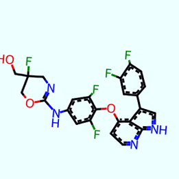 OCC1(F)CN=C(Nc2cc(F)c(Oc3ccnc4[nH]cc(-c5ccc(F)c(F)c5)c34)c(F)c2)OC1